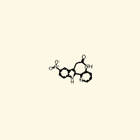 O=C1Cc2c([nH]c3ccc([N+](=O)[O-])cc23)-c2ncccc2N1